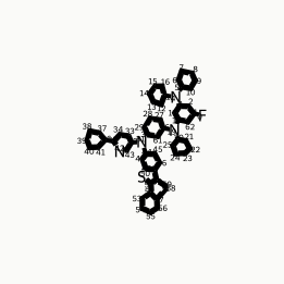 Fc1cc(N(c2ccccc2)c2ccccc2)cc(N(c2ccccc2)c2cccc(N(c3ccc(-c4ccccc4)nc3)c3ccc4c(c3)sc3c5ccccc5ccc43)c2)c1